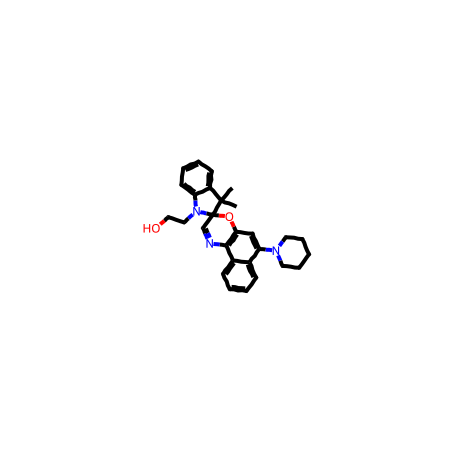 CC1(C)c2ccccc2N(CCO)C12C=Nc1c(cc(N3CCCCC3)c3ccccc13)O2